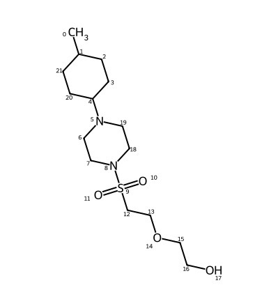 CC1CCC(N2CCN(S(=O)(=O)CCOCCO)CC2)CC1